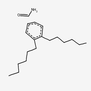 CCCCCCc1ccccc1CCCCCC.NC=O